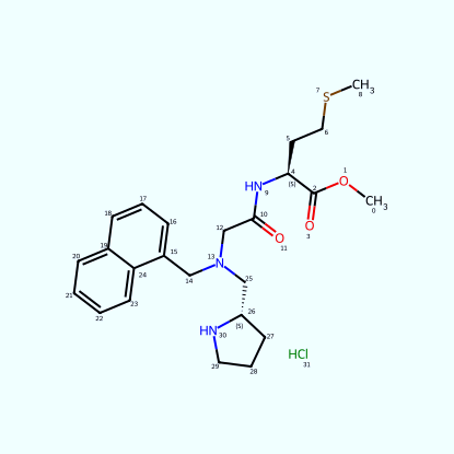 COC(=O)[C@H](CCSC)NC(=O)CN(Cc1cccc2ccccc12)C[C@@H]1CCCN1.Cl